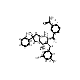 CN(C(=O)c1cccc(C(N)=O)c1)[C@@H](Cc1cc(F)cc(F)c1)[C@H](O)[C@H]1CC(O)(c2ccccc2)CN1